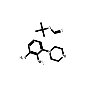 CC(C)(C)OC=O.Nc1cccc(N2CCNCC2)c1N